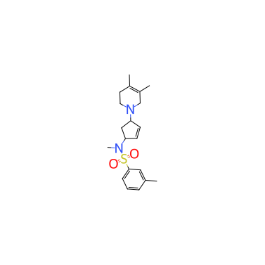 CC1=C(C)CN(C2C=CC(N(C)S(=O)(=O)c3cccc(C)c3)C2)CC1